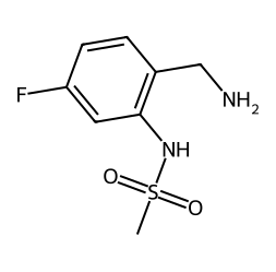 CS(=O)(=O)Nc1cc(F)ccc1CN